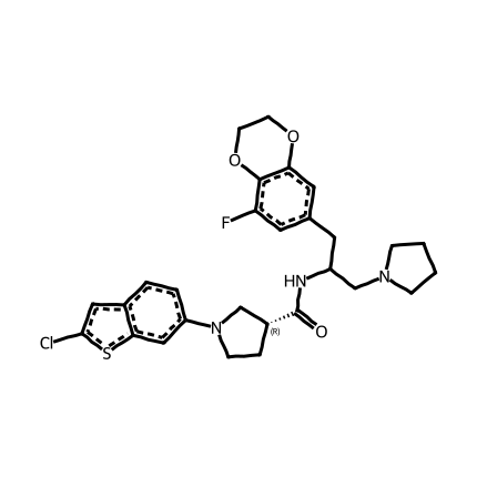 O=C(NC(Cc1cc(F)c2c(c1)OCCO2)CN1CCCC1)[C@@H]1CCN(c2ccc3cc(Cl)sc3c2)C1